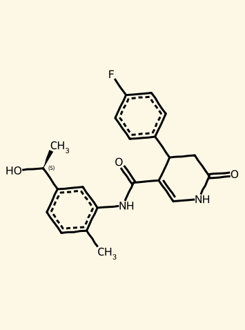 Cc1ccc([C@H](C)O)cc1NC(=O)C1=CNC(=O)CC1c1ccc(F)cc1